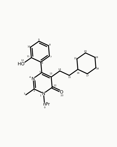 CCCn1c(C)nc(-c2ccccc2O)c(CCC2CCCCC2)c1=O